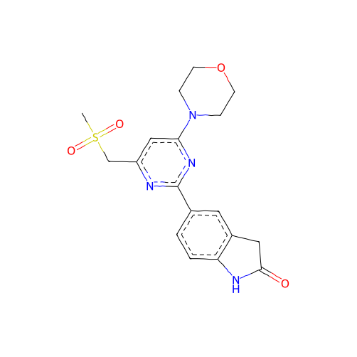 CS(=O)(=O)Cc1cc(N2CCOCC2)nc(-c2ccc3c(c2)CC(=O)N3)n1